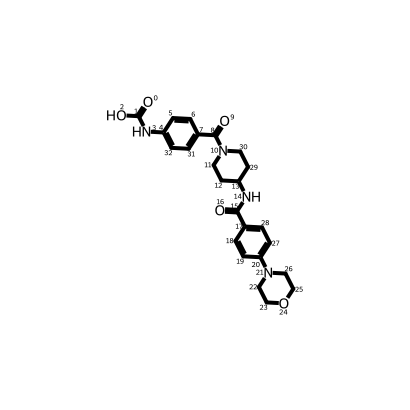 O=C(O)Nc1ccc(C(=O)N2CCC(NC(=O)c3ccc(N4CCOCC4)cc3)CC2)cc1